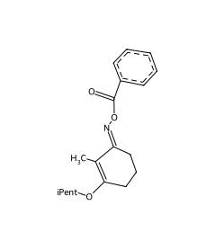 CCCC(C)OC1=C(C)C(=NOC(=O)c2ccccc2)CCC1